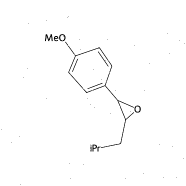 COc1ccc(C2OC2CC(C)C)cc1